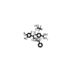 COc1cc(F)c(C(Nc2ccc(C(=N)N)cc2)C(=O)NNC(=O)c2ccccc2)cc1OC.O=C(O)C(F)(F)F